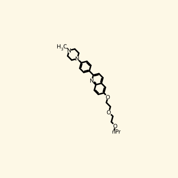 CCCOCCOCCOc1ccc2nc(-c3ccc(N4CCN(C)CC4)cc3)ccc2c1